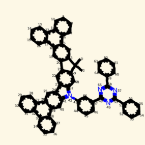 CC1(C)c2cc3c4ccccc4c4ccccc4c3cc2-c2cc3c4cc5c6ccccc6c6ccccc6c5cc4n(-c4cccc(-c5nc(-c6ccccc6)nc(-c6ccccc6)n5)c4)c3cc21